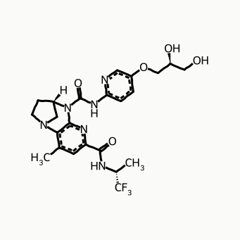 Cc1cc(C(=O)N[C@H](C)C(F)(F)F)nc2c1N1CC[C@@H](C1)N2C(=O)Nc1ccc(OC[C@@H](O)CO)cn1